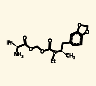 CCN(C(=O)OCOC(=O)[C@H](N)C(C)C)[C@@H](C)Cc1ccc2c(c1)OCO2